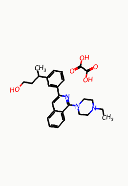 CCN1CCN(c2nc(-c3cccc(C(C)CCO)c3)cc3ccccc23)CC1.O=C(O)C(=O)O